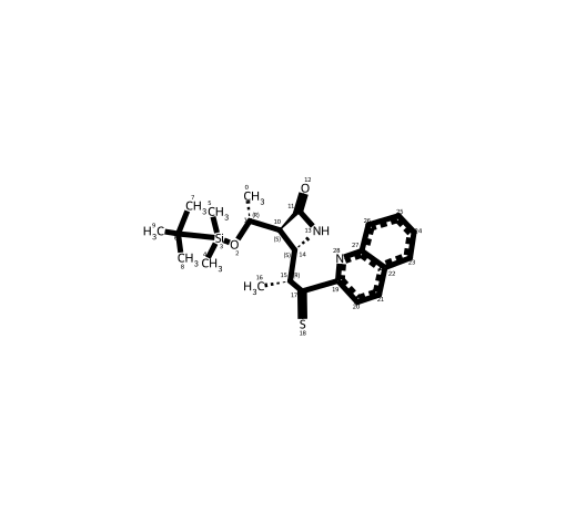 C[C@@H](O[Si](C)(C)C(C)(C)C)[C@H]1C(=O)N[C@@H]1[C@@H](C)C(=S)c1ccc2ccccc2n1